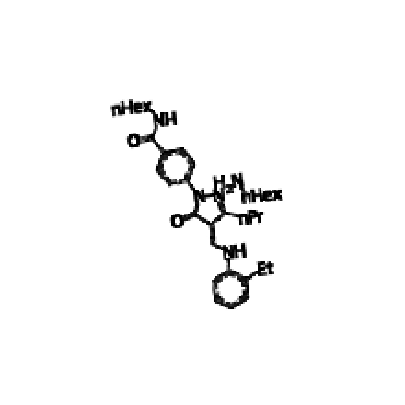 CCCCCCN.CCCCCCNC(=O)c1ccc(N2N=C(CCC)/C(=C\Nc3ccccc3CC)C2=O)cc1